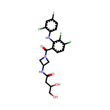 O=C(CC(O)CO)NC1CN(C(=O)c2ccc(F)c(F)c2Nc2ccc(I)cc2F)C1